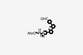 COCCNc1nnc2cc(-c3cccc(-c4cccc(-c5ccc(C=O)cc5)c4C)c3C)ccn12